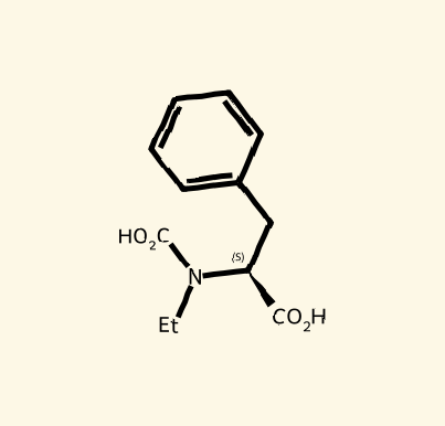 CCN(C(=O)O)[C@@H](Cc1ccccc1)C(=O)O